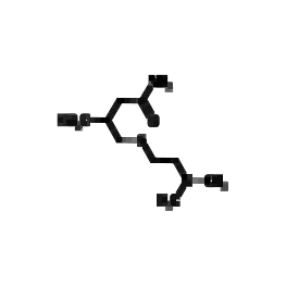 CN(C)CCSCC(CC(N)=O)C(=O)O